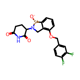 O=C1CCC(N2Cc3c(OCc4ccc(F)c(F)c4)cccc3[S+]2[O-])C(=O)N1